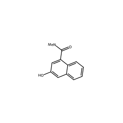 CNC(=O)c1cc(O)cc2ccccc12